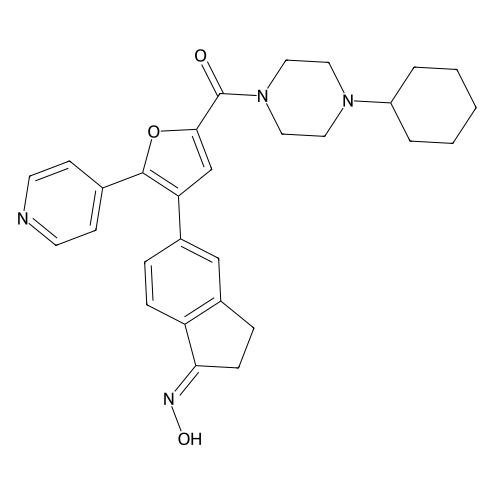 O=C(c1cc(-c2ccc3c(c2)CCC3=NO)c(-c2ccncc2)o1)N1CCN(C2CCCCC2)CC1